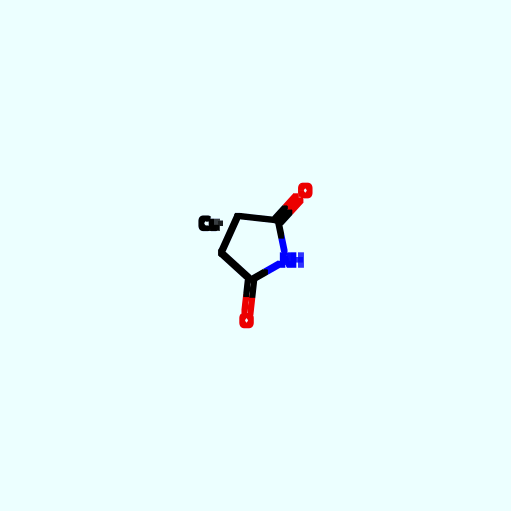 O=C1CCC(=O)N1.[Cu]